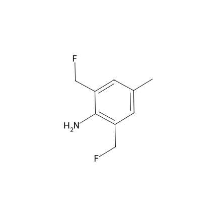 Cc1cc(CF)c(N)c(CF)c1